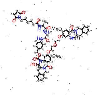 COc1cc2c(cc1OCCOCCOc1cc3c(cc1OC)C(=O)N1Cc4ccccc4C[C@H]1C(O)N3C(=O)OCc1ccc(NC(=O)[C@H](C)NC(=O)C(NC(=O)CCCCCN3C(=O)C=CC3=O)C(C)C)cc1)N=C[C@@H]1Cc3ccccc3CN1C2=O